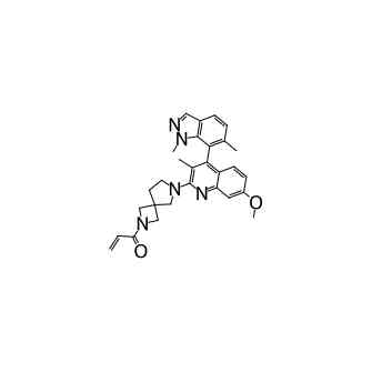 C=CC(=O)N1CC2(CCN(c3nc4cc(OC)ccc4c(-c4c(C)ccc5cnn(C)c45)c3C)C2)C1